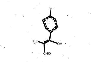 CC(C=O)=C(O)c1ccc(Br)cc1